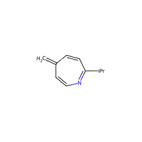 C=C1C=CN=C(C(C)C)C=C1